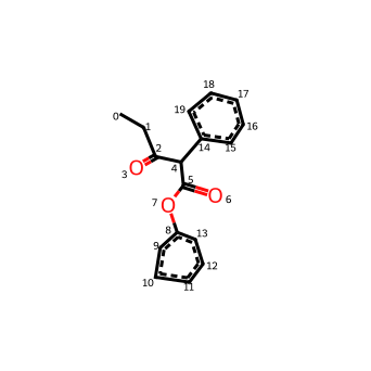 CCC(=O)C(C(=O)Oc1ccccc1)c1ccccc1